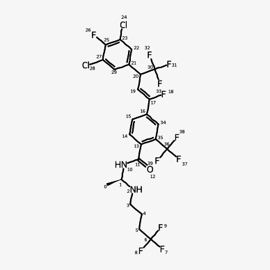 C[C@H](NCCCC(F)(F)F)NC(=O)c1ccc(/C(F)=C/C(c2cc(Cl)c(F)c(Cl)c2)C(F)(F)F)cc1C(F)(F)F